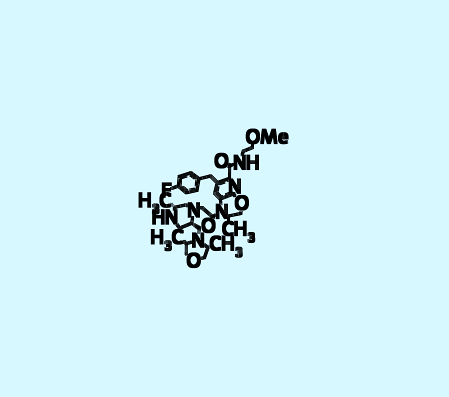 COCCNC(=O)c1nc2c(cc1Cc1ccc(F)cc1)N(C(=O)CN1C[C@@H](C)NC[C@@H]1CN1[C@H](C)COC[C@H]1C)C(C)CO2